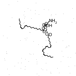 CCCCC/C=C\C/C=C\C/C=C\C/C=C\CCCCCC(=O)OC[C@H](COP(=O)(O)OCCN)OC(=O)CCCCCCCCC/C=C\C/C=C\CCCCC